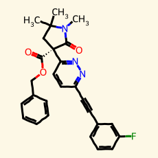 CN1C(=O)[C@@](C(=O)OCc2ccccc2)(c2ccc(C#Cc3cccc(F)c3)nn2)CC1(C)C